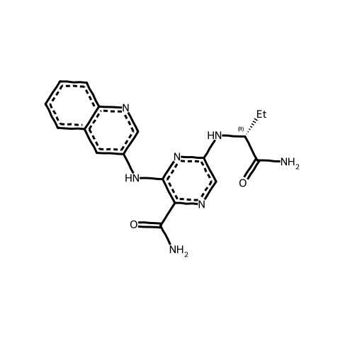 CC[C@@H](Nc1cnc(C(N)=O)c(Nc2cnc3ccccc3c2)n1)C(N)=O